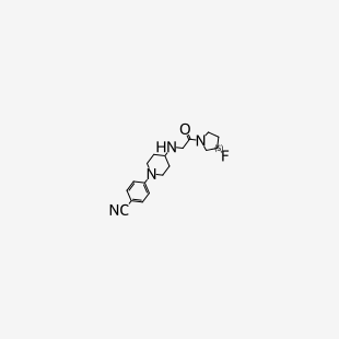 N#Cc1ccc(N2CCC(NCC(=O)N3CC[C@H](F)C3)CC2)cc1